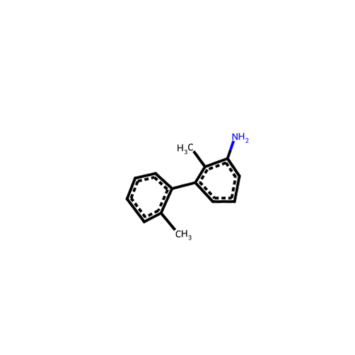 Cc1ccccc1-c1cccc(N)c1C